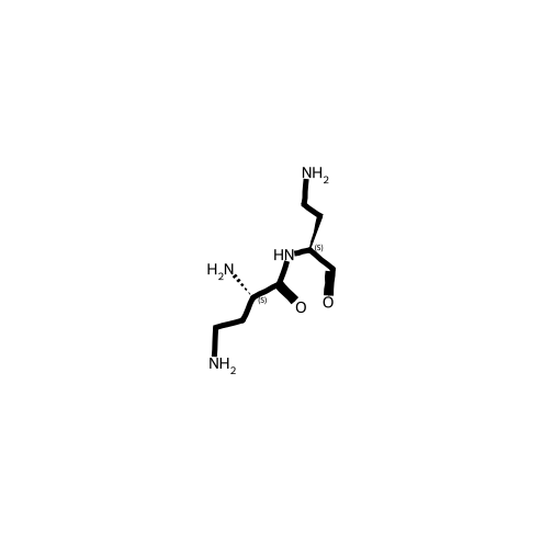 NCC[C@@H](C=O)NC(=O)[C@@H](N)CCN